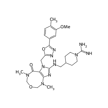 COc1cc(-c2nnc(Cn3c(NCC4CCN(C(=N)N)CC4)nc4c3C(=O)N(C)COCN4C)o2)ccc1C